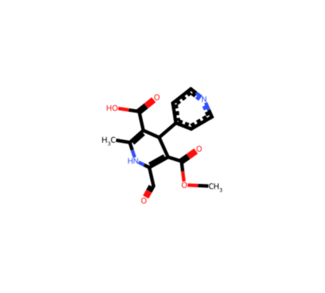 COC(=O)C1=C(C=O)NC(C)=C(C(=O)O)C1c1ccncc1